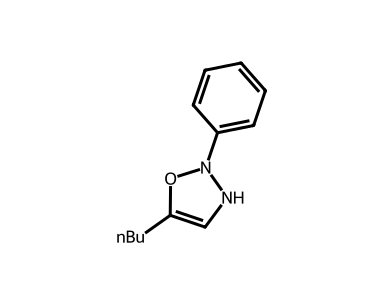 [CH2]CCCC1=CNN(c2ccccc2)O1